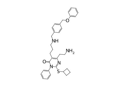 NCCc1nc(SC2CCC2)n(-c2ccccc2)c(=O)c1CCCNCc1ccc(COc2ccccc2)cc1